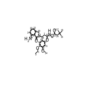 CCOc1cc(C(CC(=O)NOC(=O)CC(C)(C)C)N2Cc3cccc(N)c3C2=O)ccc1OC